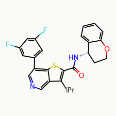 CC(C)c1c(C(=O)N[C@H]2CCOc3ccccc32)sc2c(-c3cc(F)cc(F)c3)cncc12